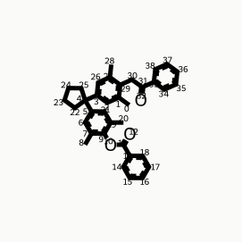 Cc1cc(C2(c3cc(C)c(OC(=O)c4ccccc4)c(C)c3)CCCC2)cc(C)c1CC(=O)c1ccccc1